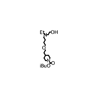 CCN(CCO)CCCCOCCC1CCN(C(=O)OCC(C)C)CC1